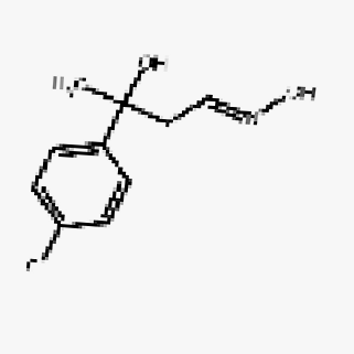 CC(O)(CC=NO)c1ccc(Cl)cc1